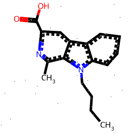 CCCCn1c2ccccc2c2cc(C(=O)O)nc(C)c21